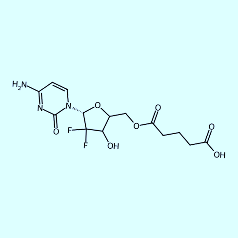 Nc1ccn([C@@H]2OC(COC(=O)CCCC(=O)O)C(O)C2(F)F)c(=O)n1